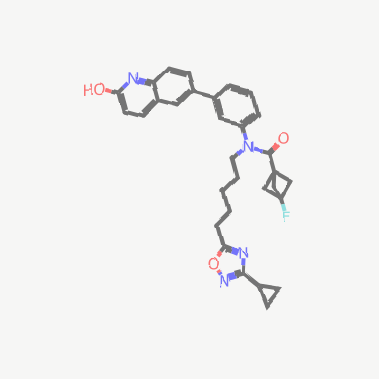 O=C(N(CCCCCc1nc(C2CC2)no1)c1cccc(-c2ccc3nc(O)ccc3c2)c1)C12CC(F)(C1)C2